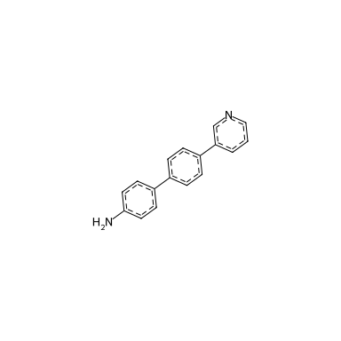 Nc1ccc(-c2ccc(-c3cccnc3)cc2)cc1